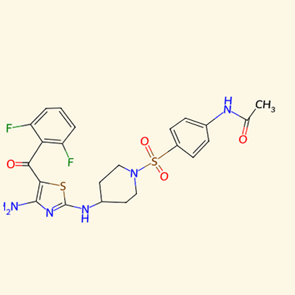 CC(=O)Nc1ccc(S(=O)(=O)N2CCC(Nc3nc(N)c(C(=O)c4c(F)cccc4F)s3)CC2)cc1